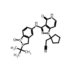 CC(C)(C)N1Cc2cc(Nc3nn(C4(CC#N)CCCC4)c4cc[nH]c(=O)c34)ccc2[S+]1[O-]